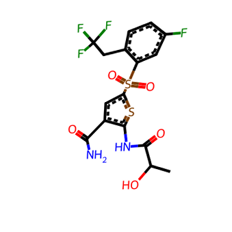 CC(O)C(=O)Nc1sc(S(=O)(=O)c2cc(F)ccc2CC(F)(F)F)cc1C(N)=O